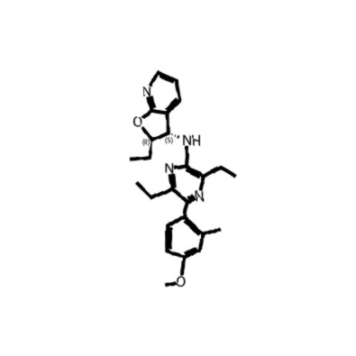 CCc1nc(-c2ccc(OC)cc2C)c(CC)nc1N[C@H]1c2cccnc2O[C@@H]1CC